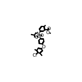 COC(=O)c1cc(N(CC(C)C)S(=O)(=O)c2ccc(Oc3cc(C)c(Cl)c(C)c3)cc2)ccc1C